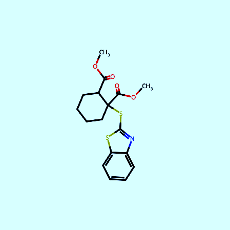 COC(=O)C1CCCCC1(Sc1nc2ccccc2s1)C(=O)OC